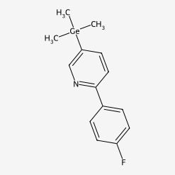 [CH3][Ge]([CH3])([CH3])[c]1ccc(-c2ccc(F)cc2)nc1